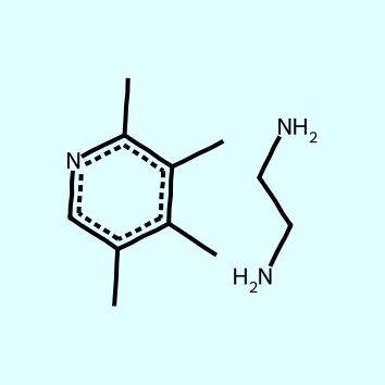 Cc1cnc(C)c(C)c1C.NCCN